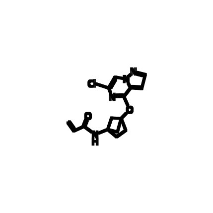 C=CC(=O)NC12CCC(Oc3nc(Cl)cn4nccc34)(C1)C2